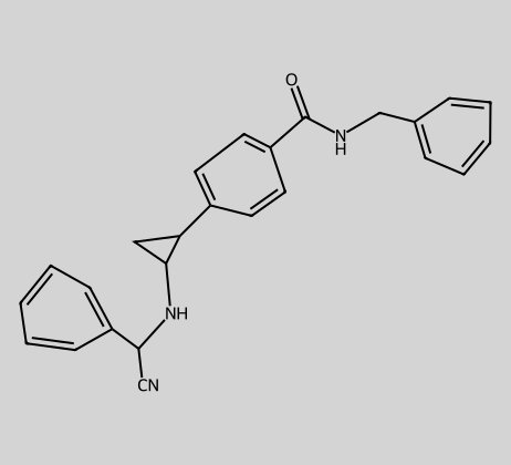 N#CC(NC1CC1c1ccc(C(=O)NCc2ccccc2)cc1)c1ccccc1